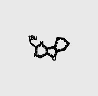 CC(C)(C)Cc1ncc2oc3ccccc3c2n1